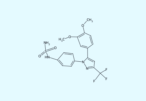 COc1ccc(-c2cc(C(F)(F)F)nn2-c2ccc(NS(N)(=O)=O)cc2)cc1OC